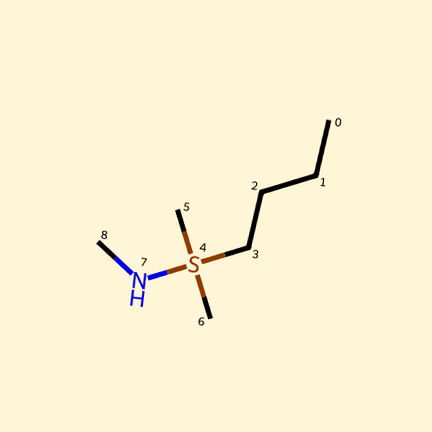 CCCCS(C)(C)NC